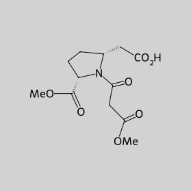 COC(=O)CC(=O)N1[C@@H](CC(=O)O)CC[C@H]1C(=O)OC